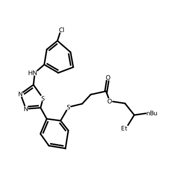 CCCCC(CC)COC(=O)CCSc1ccccc1-c1nnc(Nc2cccc(Cl)c2)s1